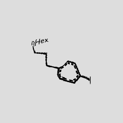 [CH2]CCCCCCCCc1ccc(I)cc1